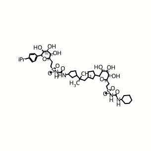 CC(C)c1ccc(C2O[C@H](CCS(=O)(=O)NC(=O)NC3CCC(C(C)(C)CC4CCC(C5O[C@H](CCS(=O)(=O)NC(=O)NC6CCCCC6)[C@@H](O)[C@H](O)[C@@H]5O)C4)C3)[C@@H](O)[C@H](O)[C@@H]2O)cc1